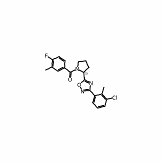 Cc1cc(C(=O)N2CCC[C@H]2c2nc(-c3cccc(Cl)c3C)no2)ccc1F